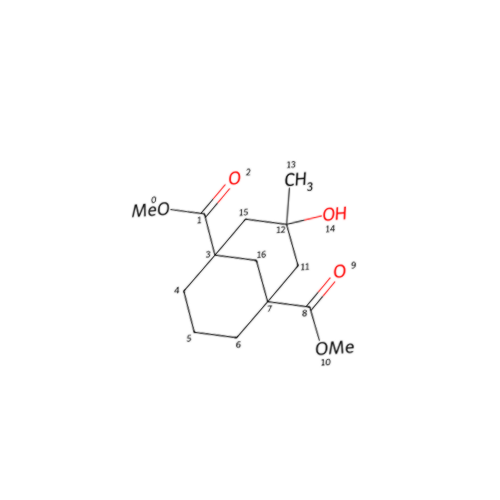 COC(=O)C12CCCC(C(=O)OC)(CC(C)(O)C1)C2